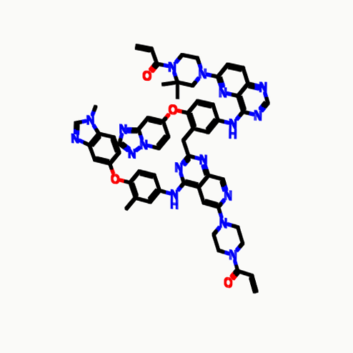 C=CC(=O)N1CCN(c2cc3c(Nc4ccc(Oc5ccc6c(c5)ncn6C)c(C)c4)nc(Cc4cc(Nc5ncnc6ccc(N7CCN(C(=O)C=C)C(C)(C)C7)nc56)ccc4Oc4ccn5ncnc5c4)nc3cn2)CC1